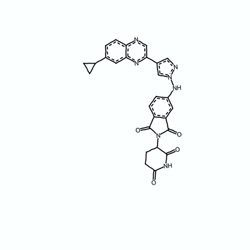 O=C1CCC(N2C(=O)c3ccc(Nn4cc(-c5cnc6ccc(C7CC7)cc6n5)cn4)cc3C2=O)C(=O)N1